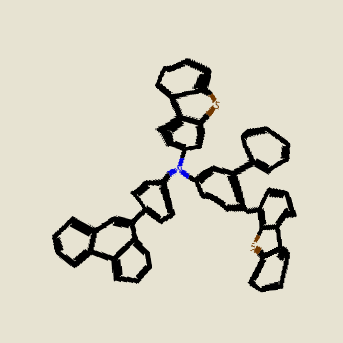 c1ccc(-c2cc(N(c3ccc(-c4cc5ccccc5c5ccccc45)cc3)c3ccc4c(c3)sc3ccccc34)ccc2-c2cccc3c2sc2ccccc23)cc1